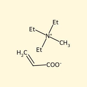 C=CC(=O)[O-].CC[N+](C)(CC)CC